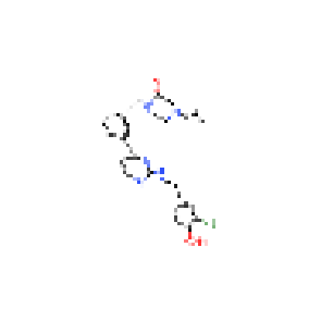 CN1CCN(Cc2cccc(-c3ccnc(NCCc4ccc(O)c(Cl)c4)n3)c2)C(=O)C1